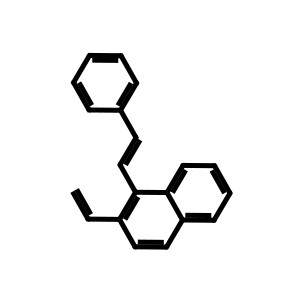 C=Cc1ccc2ccccc2c1C=Cc1ccccc1